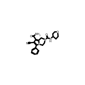 N#Cc1c(C(N)=O)c2n(c1-c1ccccc1)CCN(C(=O)NC1CCOCC1)C2